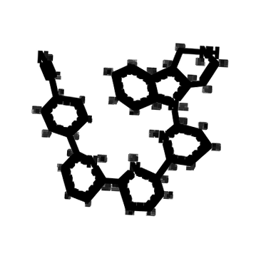 N#Cc1ccc(-c2cccc(-c3cccc(-c4cccc(-n5c6c(c7ccccc75)CNC=C6)n4)n3)n2)cc1